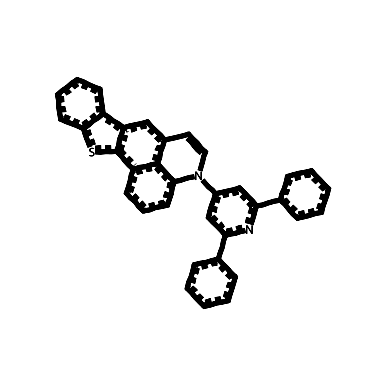 C1=CN(c2cc(-c3ccccc3)nc(-c3ccccc3)c2)c2cccc3c2c1cc1c2ccccc2sc31